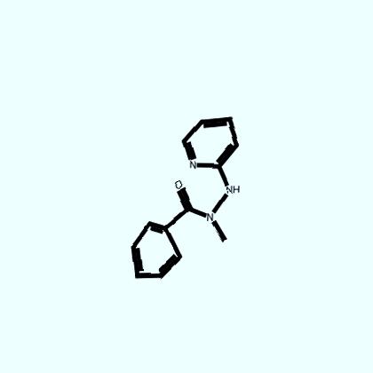 CN(Nc1ccccn1)C(=O)c1ccccc1